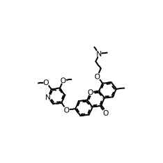 COc1cc(Oc2ccc3c(=O)c4cc(C)cc(OCCN(C)C)c4oc3c2)cnc1OC